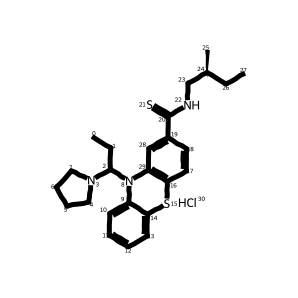 CCC(N1CCCC1)N1c2ccccc2Sc2ccc(C(=S)NC[C@@H](C)CC)cc21.Cl